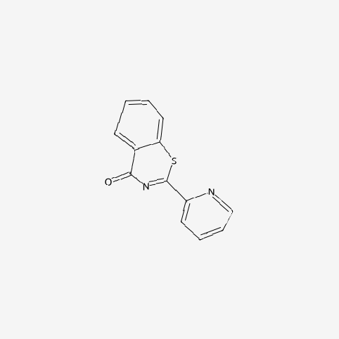 O=c1nc(-c2ccccn2)sc2ccccc12